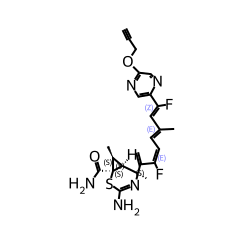 C#CCOc1cnc(/C(F)=C/C(C)=C/C=C(/F)C(=C)[C@@]2(C)N=C(N)S[C@]3(C(N)=O)[C@H]2[C@@H]3C)cn1